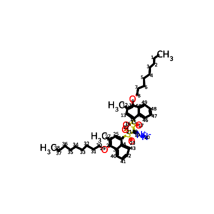 CCCCCCCCCOc1c(C)cc(S(=O)(=O)C(=[N+]=[N-])S(=O)(=O)c2cc(C)c(OCCCCCCCCC)c3ccccc23)c2ccccc12